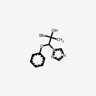 CC(C)(C)C(C)(O)C(Oc1ccccc1)n1cncn1